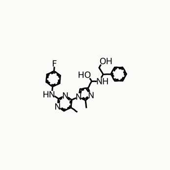 Cc1cnc(Nc2ccc(F)cc2)nc1-n1cc(C(O)NC(CO)c2ccccc2)nc1C